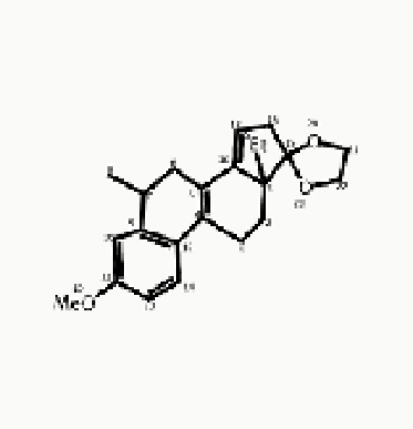 CCC12CCC3=C(CC(C)c4cc(OC)ccc43)C1=CCC21OCCO1